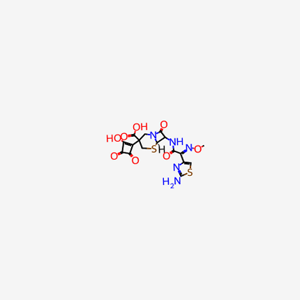 CON=C(C(=O)NC1C(=O)N2CC(C(=O)O)(c3c(O)c(=O)c3=O)CS[C@H]12)c1csc(N)n1